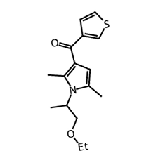 CCOCC(C)n1c(C)cc(C(=O)c2ccsc2)c1C